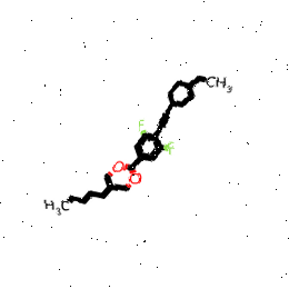 CCCCCC1COC(c2cc(F)c(C#CC3CCC(CC)CC3)c(F)c2)OC1